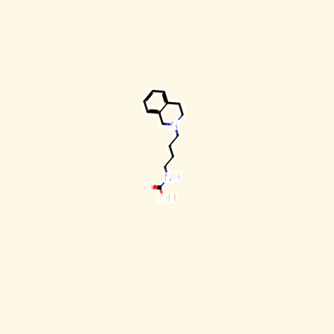 O=C(O)NCCCCN1CCc2ccccc2C1